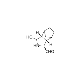 O=C[C@H]1NC(O)[C@@H]2C3CCC(C3)[C@@H]21